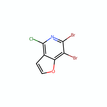 Clc1nc(Br)c(Br)c2occc12